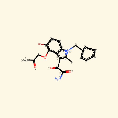 COC(=O)COc1c(Br)ccc2c1c(C(=O)C(N)=O)c(C)n2Cc1ccccc1